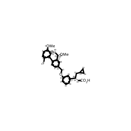 COc1ccc(F)c(-c2ccc(COc3cccc([C@@H](CC(=O)O)CC4CC4)c3)cc2[C@@H](OC)C(C)(C)C)c1